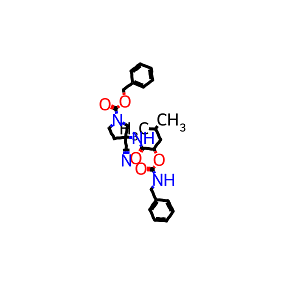 CC(C)CC(OC(=O)NCc1ccccc1)C(=O)NC1(C#N)CCN(C(=O)OCc2ccccc2)C1